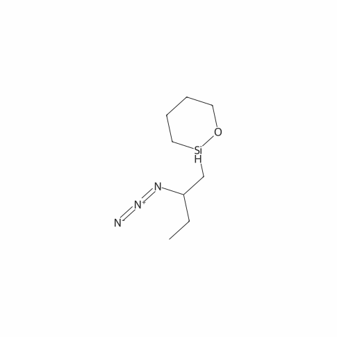 CCC(C[SiH]1CCCCO1)N=[N+]=[N-]